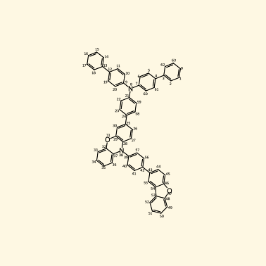 c1ccc(-c2ccc(N(c3ccc(-c4ccccc4)cc3)c3ccc(-c4ccc5c(c4)Oc4ccccc4N5c4ccc(-c5ccc6oc7ccccc7c6c5)cc4)cc3)cc2)cc1